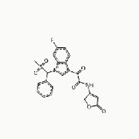 CS(=O)(=O)C(c1ccccc1)n1cc(C(=O)C(=O)NC2=CC(=O)OC2)c2ccc(F)cc21